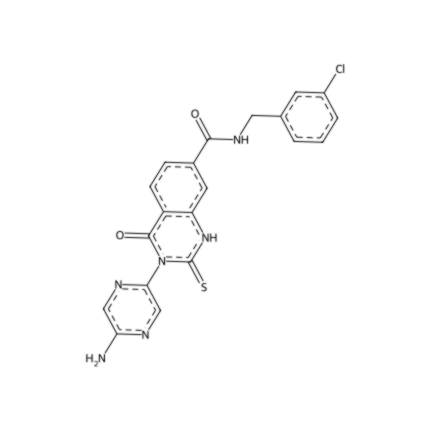 Nc1cnc(-n2c(=S)[nH]c3cc(C(=O)NCc4cccc(Cl)c4)ccc3c2=O)cn1